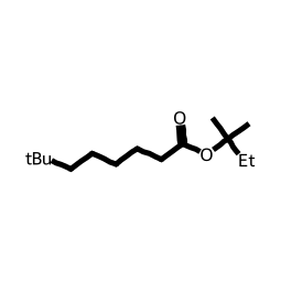 CCC(C)(C)OC(=O)CCCCCC(C)(C)C